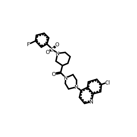 O=C(C1CCCN(S(=O)(=O)c2cccc(F)c2)C1)N1CCN(c2ccnc3cc(Cl)ccc23)CC1